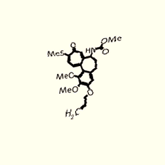 C=CCOc1cc2c(c(OC)c1OC)-c1ccc(SC)c(=O)cc1C(NC(=O)OC)CC2